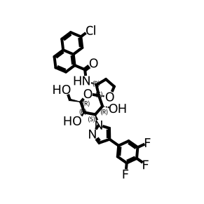 O=C(N[C@@H]1CCO[C@]12O[C@H](CO)[C@H](O)[C@H](n1cc(-c3cc(F)c(F)c(F)c3)cn1)[C@H]2O)c1cccc2ccc(Cl)cc12